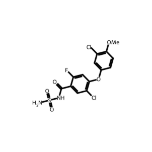 COc1ccc(Oc2cc(F)c(C(=O)NS(N)(=O)=O)cc2Cl)cc1Cl